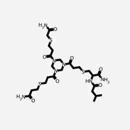 CC(C)CC(=O)NC(CSCCC(=O)N1CN(C(=O)CCSCCC(N)=O)CN(C(=O)CCSCC(N)=O)C1)C(N)=O